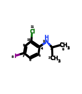 CC(C)Nc1ccc(I)cc1Cl